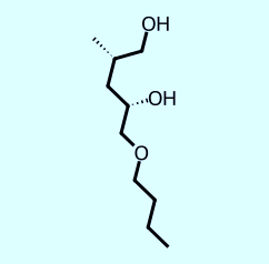 CCCCOC[C@@H](O)C[C@H](C)CO